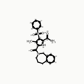 Cc1c(C(=O)N2CCCc3ccccc3C2)[nH]c(C(N)=O)c1S(=O)(=O)c1ccccc1